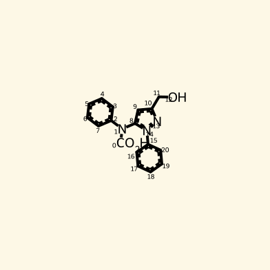 O=C(O)N(c1ccccc1)c1cc(CO)nn1-c1ccccc1